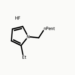 CCCCCCn1cccc1CC.F